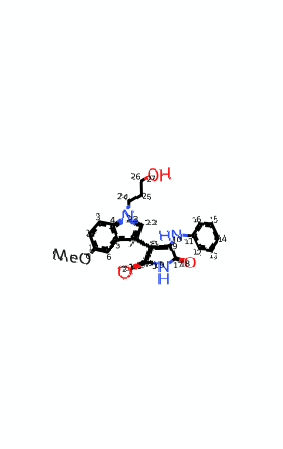 COc1ccc2c(c1)c(C1=C(Nc3ccccc3)C(=O)NC1=O)cn2CCCO